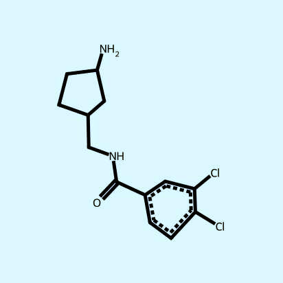 NC1CCC(CNC(=O)c2ccc(Cl)c(Cl)c2)C1